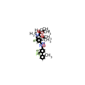 Cc1ccccc1-c1ccc(-c2nc(-c3ccc(CN(C)C(COC(C)(C)C)C(=O)OC(C)(C)C)c(F)c3)no2)cc1C(F)(F)F